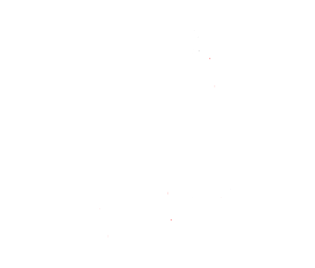 O=P([O-])([O-])[O-].O=P([O-])([O-])[O-].O=P([O-])([O-])[O-].O=P([O-])([O-])[O-].OP(O)O.OP(O)O.OP(O)O.OP(O)O.[Zr+4].[Zr+4].[Zr+4]